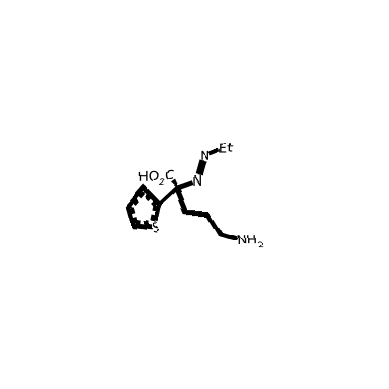 CCN=N[C@@](CCCN)(C(=O)O)c1cccs1